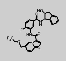 O=C(N[C@@H]1c2ccccc2C[C@@H]1O)c1ccc(F)c(NC(=O)c2cnc3ccc(COCC(F)(F)F)cn23)c1